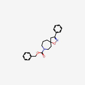 O=C(OCc1ccccc1)N1CCCC2(CC1)CC(c1ccccc1)=NO2